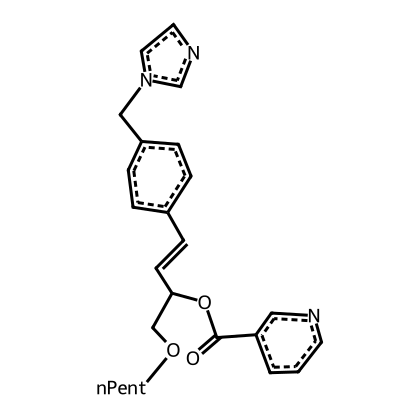 CCCCCOCC(C=Cc1ccc(Cn2ccnc2)cc1)OC(=O)c1cccnc1